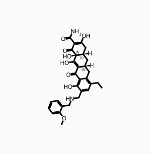 CCc1cc(CNCc2ccccc2OC)c(O)c2c1C[C@H]1C[C@H]3CC(O)=C(C(N)=O)C(=O)[C@@]3(O)C(O)=C1C2=O